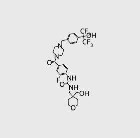 O=C(NCC1(CO)CCOCC1)Nc1ccc(C(=O)N2CCN(Cc3ccc(C(O)(C(F)(F)F)C(F)(F)F)cc3)CC2)cc1F